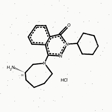 Cl.N[C@H]1CCCCN(c2nn(C3CCCCC3)c(=O)c3ccccc23)C1